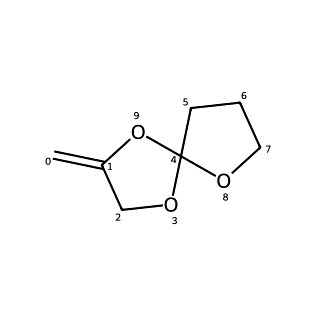 C=C1COC2(CCCO2)O1